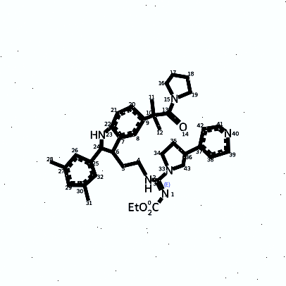 CCOC(=O)/N=C(\NCCC1c2cc(C(C)(C)C(=O)N3CCCC3)ccc2NC1c1cc(C)cc(C)c1)N1CCC(c2ccncc2)C1